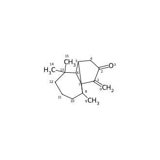 C=C1C(=O)CC2C3C1C2(C)CCCC3(C)C